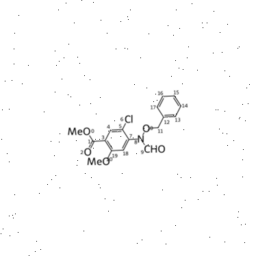 COC(=O)c1cc(Cl)c(N(C=O)OCc2ccccc2)cc1OC